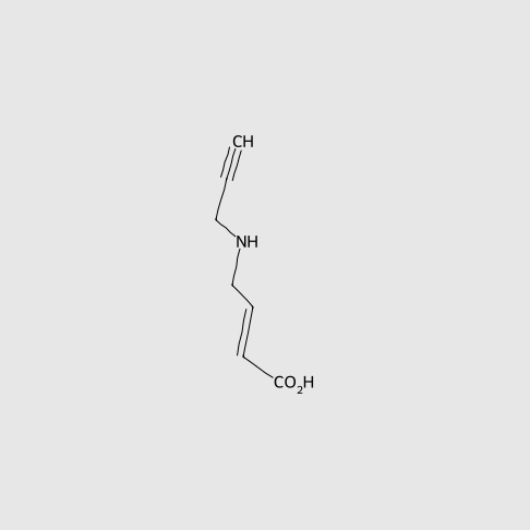 C#CCNCC=CC(=O)O